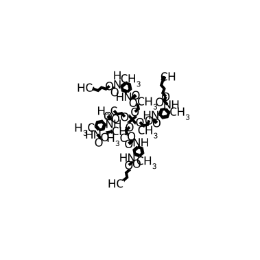 C#CCCCOC(=O)Nc1cc(NC(=O)OCC(C)OCC(COCC(C)OC(=O)Nc2ccc(C)c(NC(=O)OCC#C)c2)(COCC(C)OC(=O)Nc2ccc(C)c(NC(=O)OCCCC#C)c2)COCC(C)OC(=O)Nc2ccc(C)c(NC(=O)OCCCC#C)c2)ccc1C